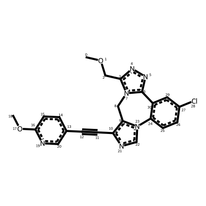 COCc1nnc2n1Cc1c(C#Cc3ccc(OC)nc3)ncn1-c1ccc(Cl)cc1-2